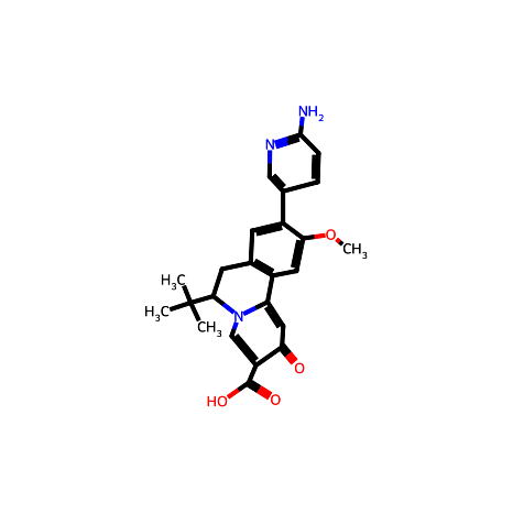 COc1cc2c(cc1-c1ccc(N)nc1)CC(C(C)(C)C)n1cc(C(=O)O)c(=O)cc1-2